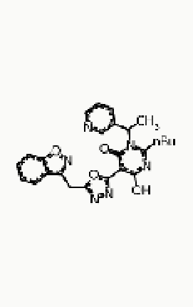 CCCCc1nc(O)c(-c2nnc(Cc3noc4ccccc34)o2)c(=O)n1C(C)c1cccnc1